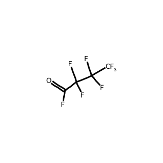 O=C(F)C(F)(F)C(F)(F)C(F)(F)F